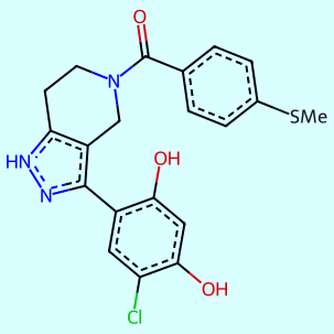 CSc1ccc(C(=O)N2CCc3[nH]nc(-c4cc(Cl)c(O)cc4O)c3C2)cc1